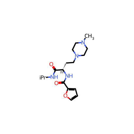 CC(C)NC(=O)[C@H](CCN1CCN(C)CC1)NC(=O)c1ccco1